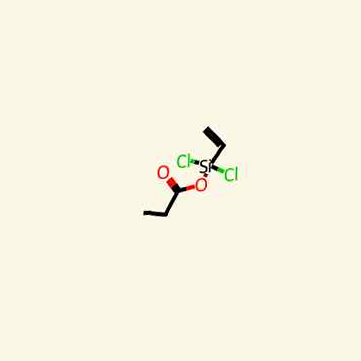 C=C[Si](Cl)(Cl)OC(=O)CC